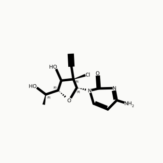 C#C[C@@]1(Cl)C(O)[C@@H]([C@@H](C)O)O[C@H]1n1ccc(N)nc1=O